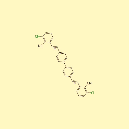 N#Cc1c(Cl)cccc1/C=C/c1ccc(-c2ccc(/C=C/c3cccc(Cl)c3C#N)cc2)cc1